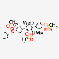 COc1cc(-c2ccc(OS(C)(=O)=O)cc2)c(OC)c(OS(C)(=O)=O)c1-c1ccc(OCC2=CCCCC2)c(OS(C)(=O)=O)c1